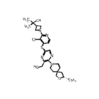 C[C@H]1CC2(CCN(c3ncc(Sc4ccnc(N5CC(C(C)(C)C#N)C5)c4Cl)nc3CO)CC2)CO1